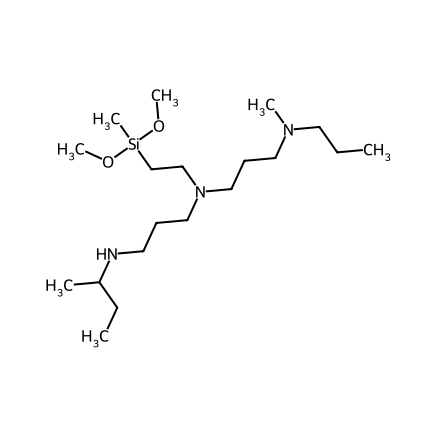 CCCN(C)CCCN(CCCNC(C)CC)CC[Si](C)(OC)OC